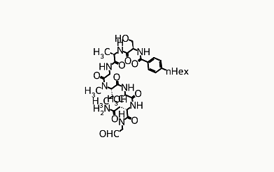 CCCCCCc1ccc(C(=O)N[C@H](CO)C(=O)N[C@H](C)C(=O)NCC(=O)N(C)[C@H](C(=O)N[C@@H](C)C(=O)N[C@@H](CC(N)=O)C(=O)NCC=O)C(C)O)cc1